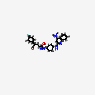 CN(C)c1cc(N[C@H]2CC[C@@H](NC(=O)CCC(=O)c3ccc(F)cc3)CC2)nc2ccccc12